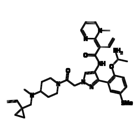 BC(C)Oc1ccc(SC)cc1-c1nn(CC(=O)N2CCC(N(C)CC3(C=C)CC3)CC2)cc1NC(=O)/C(C=C)=C1\N=CC=CN1C